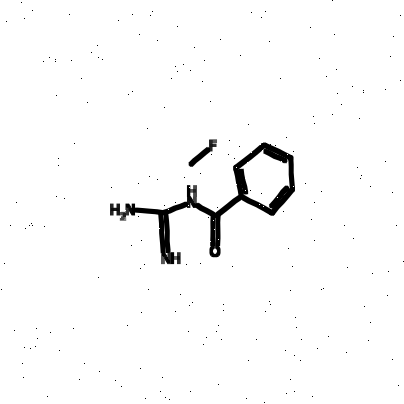 CF.N=C(N)NC(=O)c1ccccc1